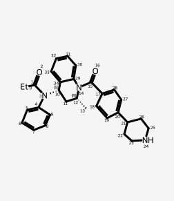 CCC(=O)N(c1ccccc1)[C@H]1C[C@@H](C)N(C(=O)c2ccc(C3CCNCC3)cc2)c2ccccc21